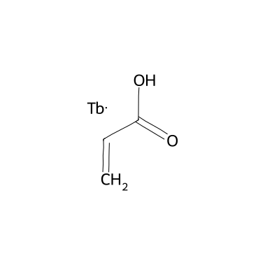 C=CC(=O)O.[Tb]